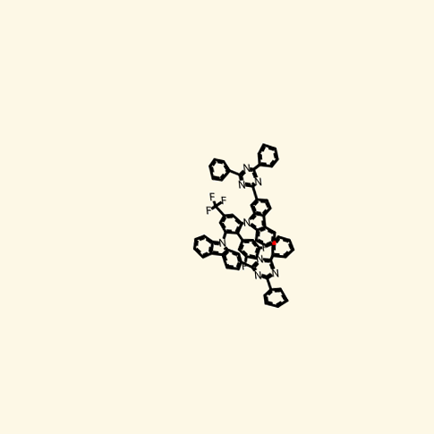 Fc1cc(F)cc(-c2c(-n3c4ccccc4c4ccc(-c5nc(-c6ccccc6)nc(-c6ccccc6)n5)cc43)cc(C(F)(F)F)cc2-n2c3ccccc3c3ccc(-c4nc(-c5ccccc5)nc(-c5ccccc5)n4)cc32)c1